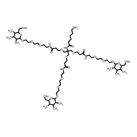 CC(=O)OCC1OC(OCCOCCOCCNC(=O)CCOCC(COCCC(=O)NCCOCCOCCOC2OC(COC(C)=O)C(C)C(C)C2C)(COCCC(=O)NCCOCCOCCOC2OC(COC(C)=O)C(C)C(C)C2C)NC(=O)CCCCCN)C(C)C(C)C1C